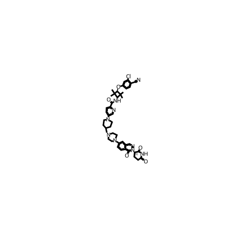 CC1(C)[C@H](NC(=O)c2ccc(N3CCC(CN4CCN(c5ccc6c(=O)n([C@H]7CCC(=O)NC7=O)ncc6c5)CC4)CC3)cn2)C(C)(C)[C@H]1Oc1ccc(C#N)c(Cl)c1